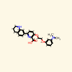 CN(C)c1cccc(OCCOc2ccc(-c3ccc4c(c3)NCCC4)nc2C(=O)O)c1